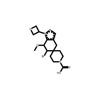 COC1c2c(cnn2C2COC2)CC2(CCN(C(=O)O)CC2)C1Br